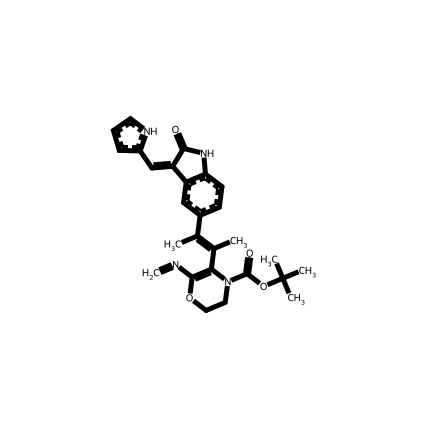 C=NC1=C(/C(C)=C(\C)c2ccc3c(c2)/C(=C/c2ccc[nH]2)C(=O)N3)N(C(=O)OC(C)(C)C)CCO1